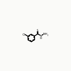 NNC(=S)c1cccc(Cl)c1